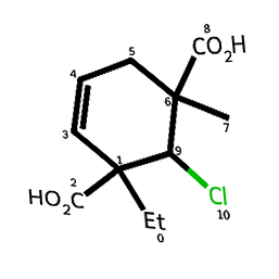 CCC1(C(=O)O)C=CCC(C)(C(=O)O)C1Cl